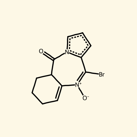 O=C1C2CCCC=C2[N+]([O-])=C(Br)c2cccn21